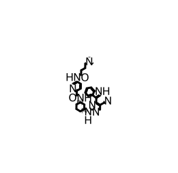 CN(C)CCCC(=O)Nc1ccc(C(=O)N[C@H]2CCC[C@@H](Nc3ncc(C#N)c(-c4c[nH]c5ccccc45)n3)C2)nc1